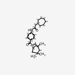 CC1(C)CC2CC(C)(CN2C(=O)c2ccc(NC(=O)CN3CCCCCC3)cc2)C1